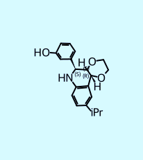 CC(C)c1ccc2c(c1)[C@H]1OCCO[C@H]1[C@H](c1cccc(O)c1)N2